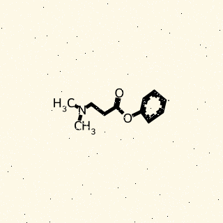 CN(C)CCC(=O)Oc1cc[c]cc1